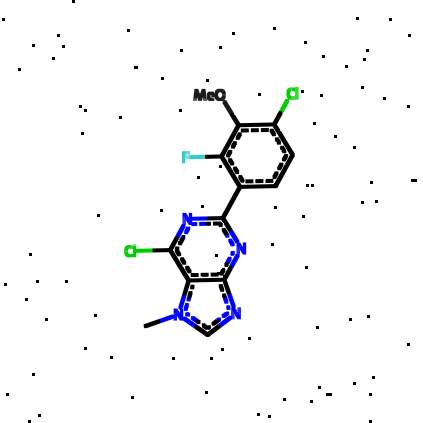 COc1c(Cl)ccc(-c2nc(Cl)c3c(ncn3C)n2)c1F